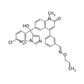 C=CCON=Cc1cccc(-c2cc(=O)n(C)c3ccc(C(O)(c4ccc(Cl)cc4)c4cncn4C)cc23)c1